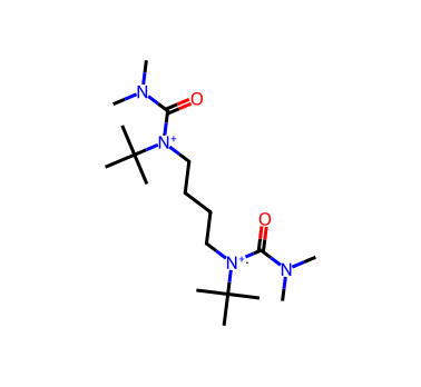 CN(C)C(=O)[N+](CCCC[N+](C(=O)N(C)C)C(C)(C)C)C(C)(C)C